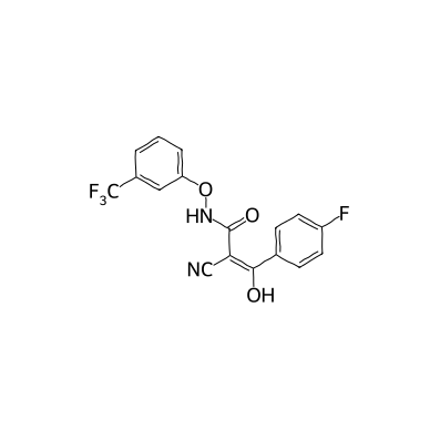 N#C/C(C(=O)NOc1cccc(C(F)(F)F)c1)=C(\O)c1ccc(F)cc1